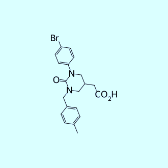 Cc1ccc(CN2CC(CC(=O)O)CN(c3ccc(Br)cc3)C2=O)cc1